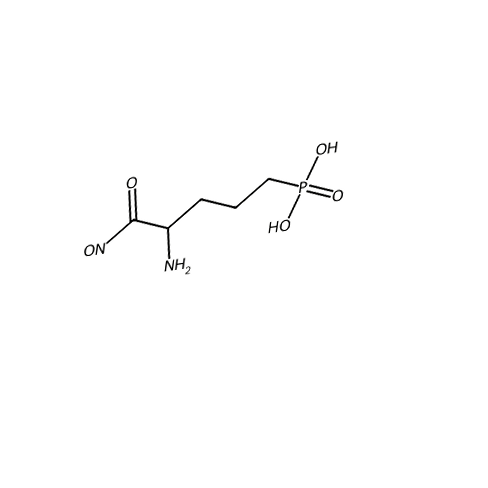 NC(CCCP(=O)(O)O)C(=O)N=O